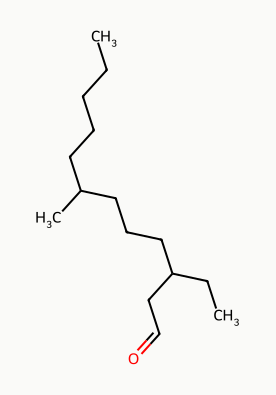 CCCCCC(C)CCCC(CC)CC=O